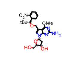 COc1nc(N)nc2c1c(CO[C@H](c1ccccc1[N+](=O)[O-])C(C)(C)C)cn2[C@H]1C[C@@H](O)[C@@H](CO)O1